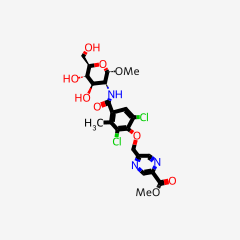 COC(=O)c1cnc(COc2c(Cl)cc(C(=O)N[C@H]3[C@@H](OC)O[C@H](CO)[C@@H](O)[C@@H]3O)c(C)c2Cl)cn1